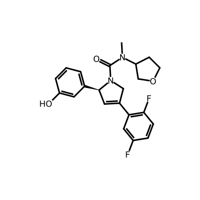 CN(C(=O)N1CC(c2cc(F)ccc2F)=C[C@H]1c1cccc(O)c1)C1CCOC1